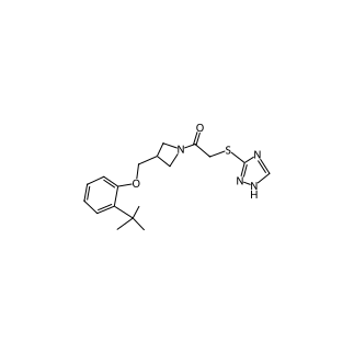 CC(C)(C)c1ccccc1OCC1CN(C(=O)CSc2nc[nH]n2)C1